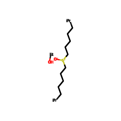 CC(C)CCCCC[S+]([O-])CCCCCC(C)C.CCO